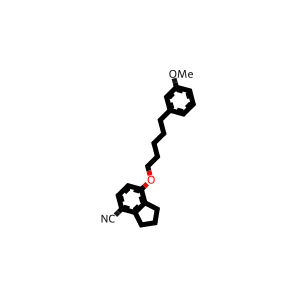 COc1cccc(CCCCCOc2ccc(C#N)c3c2CCC3)c1